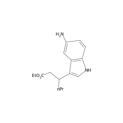 CCCC(CC(=O)OCC)c1c[nH]c2ccc(N)cc12